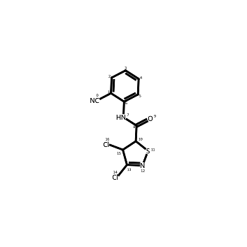 N#Cc1ccccc1NC(=O)C1SN=C(Cl)C1Cl